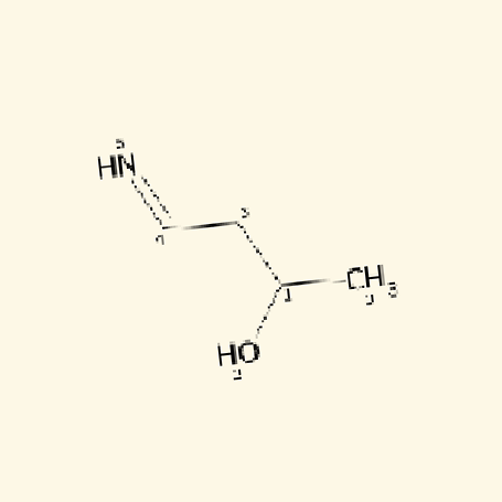 CC(O)CC=N